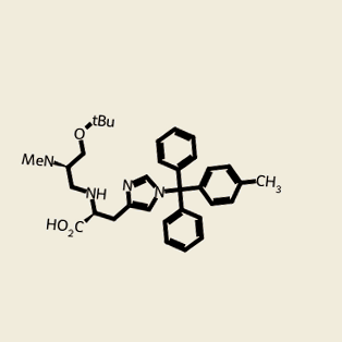 CN[C@H](CN[C@@H](Cc1cn(C(c2ccccc2)(c2ccccc2)c2ccc(C)cc2)cn1)C(=O)O)COC(C)(C)C